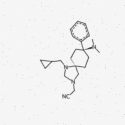 CN(C)[C@]1(c2ccccc2)CC[C@]2(CC1)CN(CC#N)CN2CC1CC1